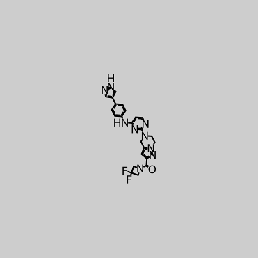 O=C(c1cc2n(n1)CCN(c1nccc(Nc3ccc(-c4cn[nH]c4)cc3)n1)C2)N1CC(F)(F)C1